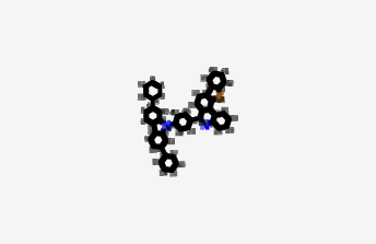 C1=CCC(c2ccc3c4ccc(-c5ccccc5)cc4n(-c4ccc(-c5nc6ccccc6c6c5ccc5c7ccccc7sc56)cc4)c3c2)C=C1